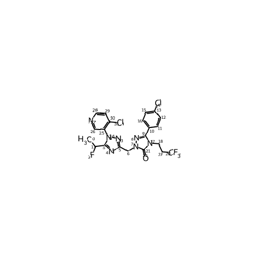 CC(F)c1nc(Cn2nc(-c3ccc(Cl)cc3)n(CCC(F)(F)F)c2=O)nn1-c1cnccc1Cl